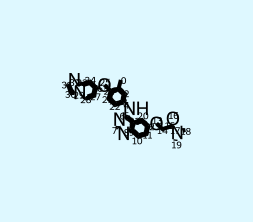 Cc1cc(Nc2ncnc3ccc(OCC(=O)N(C)C)cc23)ccc1Oc1ccn2ccnc2c1